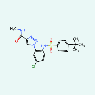 CNC(=O)c1cn(-c2cc(Cl)ccc2NS(=O)(=O)c2ccc(C(C)(C)C)cc2)nn1